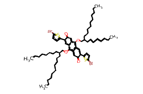 CCCCCCCCCCC(CCCCCCCC)COc1c2c(c(OCC(CCCCCCCC)CCCCCCCCCC)c3c1=CC(=O)C(c1ccc(Br)s1)=C3)=CC(=O)C(c1ccc(Br)s1)=C2